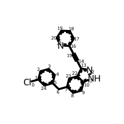 Clc1cccc(Cc2ccc3[nH]nc(C#Cc4ccccn4)c3c2)c1